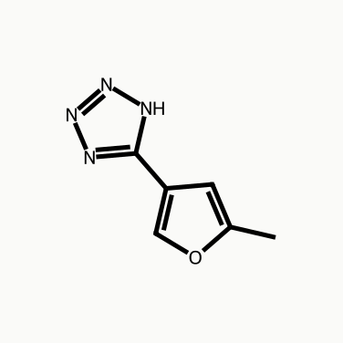 Cc1cc(-c2nnn[nH]2)co1